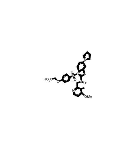 COc1ccnc(C[S+]([O-])c2nc3cc(-n4cccc4)ccc3n2S(=O)(=O)c2ccc(OCC(=O)O)cc2)c1C